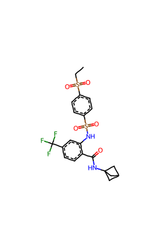 CCS(=O)(=O)c1ccc(S(=O)(=O)Nc2cc(C(F)(F)F)ccc2C(=O)NC23CC(C2)C3)cc1